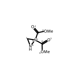 COC(=O)[N+]1(C(=O)OC)CN1